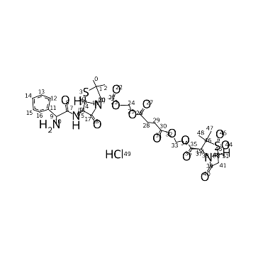 CC1(C)S[C@@H]2[C@H](NC(=O)C(N)c3ccccc3)C(=O)N2[C@H]1C(=O)OCOC(=O)CCC(=O)OCOC(=O)[C@@H]1N2C(=O)C[C@H]2S(=O)(=O)C1(C)C.Cl